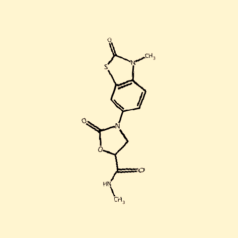 CNC(=O)C1CN(c2ccc3c(c2)sc(=O)n3C)C(=O)O1